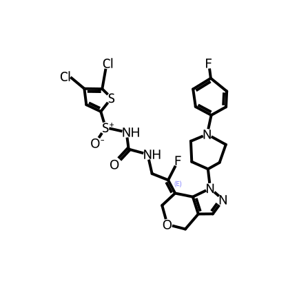 O=C(NC/C(F)=C1\COCc2cnn(C3CCN(c4ccc(F)cc4)CC3)c21)N[S+]([O-])c1cc(Cl)c(Cl)s1